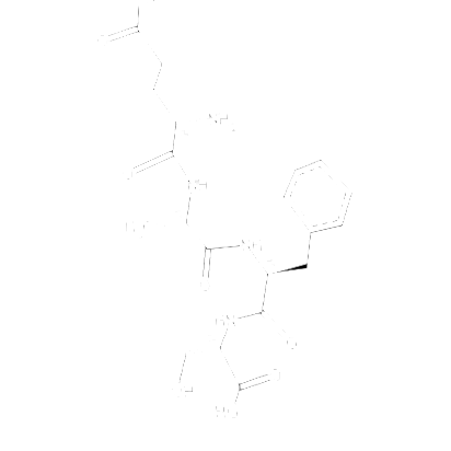 C[C@H](NC(=O)[C@@H](N)CCC(=O)O)C(=O)N[C@@H](Cc1ccccc1)C(=O)N[C@@H](CO)C(=O)O